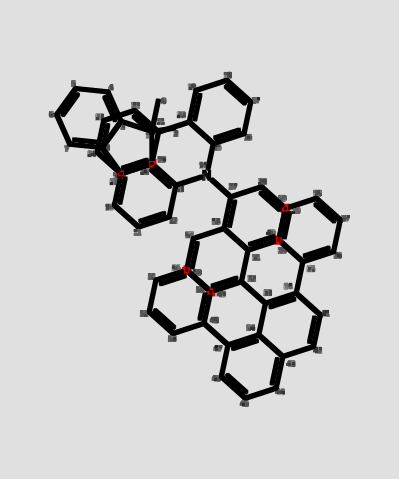 CC1(C)c2ccccc2-c2cccc(N(c3ccccc3-c3ccccc3)c3cccc4c(-c5c(-c6ccccc6)ccc6cccc(-c7ccccc7)c56)cccc34)c21